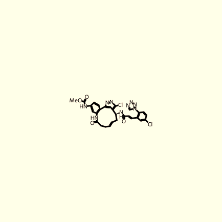 COC(=O)Nc1ccc2c(c1)NC(=O)CC/C=C/C[C@H](NC(=O)/C=C/c1cc(Cl)ccc1-n1cnnn1)c1cc-2nnc1Cl